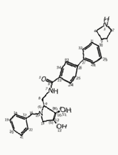 C1CCNC1.O=C(NC[C@H]1[C@@H](O)[C@@H](O)CN1Cc1ccccc1)c1ccc(-c2ccccc2)cc1